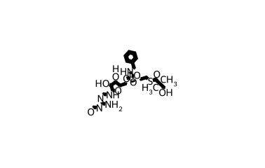 CC(C)(CO)C(=O)SCCOP(=O)(NCc1ccccc1)OCC1OC(N/C=N\C(N)=N/C=O)C(O)C1O